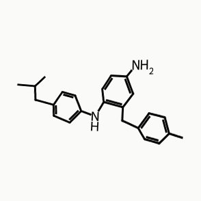 Cc1ccc(Cc2cc(N)ccc2Nc2ccc(CC(C)C)cc2)cc1